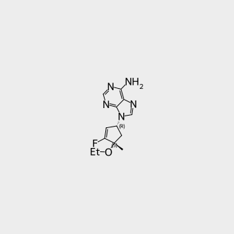 CCO[C@@]1(C)C[C@@H](n2cnc3c(N)ncnc32)C=C1F